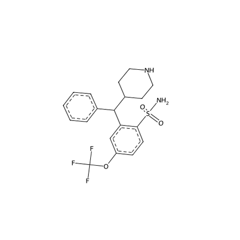 NS(=O)(=O)c1ccc(OC(F)(F)F)cc1C(c1ccccc1)C1CCNCC1